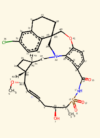 CO[C@H]1/C=C/C[C@H](O)[C@@H](C)S(=O)(=O)NC(=O)c2ccc3c(c2)N(C[C@@H]2CC[C@H]21)C[C@@]1(CCCc2cc(Cl)ccc21)CO3